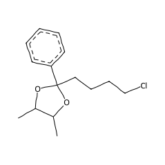 CC1OC(CCCCCl)(c2ccccc2)OC1C